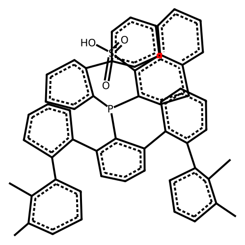 Cc1cccc(-c2ccccc2-c2cccc(-c3ccccc3-c3cccc(C)c3C)c2P(c2ccccc2-c2ccccc2)c2ccc3ccccc3c2S(=O)(=O)O)c1C